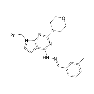 Cc1cccc(C=NNc2nc(N3CCOCC3)nc3c2ccn3CC(C)C)c1